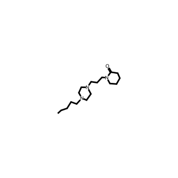 CCCCCN1CCN(CCCN2CCCCC2=O)CC1